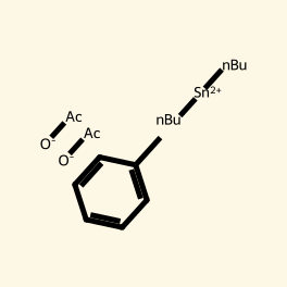 CC(=O)[O-].CC(=O)[O-].CCC[CH2][Sn+2][CH2]CCC.Cc1ccccc1